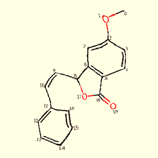 COc1ccc2c(c1)C(/C=C\c1ccccc1)OC2=O